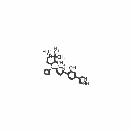 CC1C(N(c2ccc(-c3ccc(-c4cn[nH]c4)cc3O)nn2)C2CCC2)CCN(C)C1(C)C